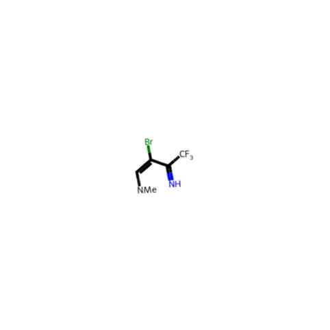 CN/C=C(/Br)C(=N)C(F)(F)F